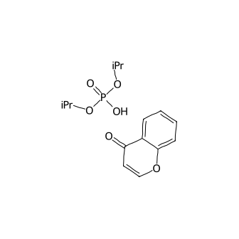 CC(C)OP(=O)(O)OC(C)C.O=c1ccoc2ccccc12